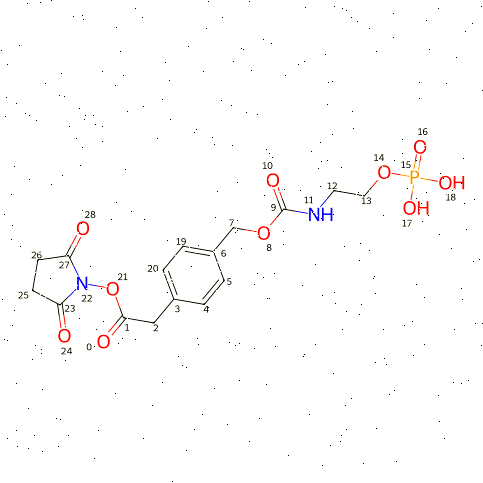 O=C(Cc1ccc(COC(=O)NCCOP(=O)(O)O)cc1)ON1C(=O)CCC1=O